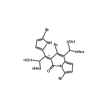 CCCCCCCCC(CCCCCC)/C(c1ccc(Br)[nH]1)=c1/c(C(C)=O)c(C(CCCCCC)CCCCCCCC)c2ccc(Br)n2c1=O